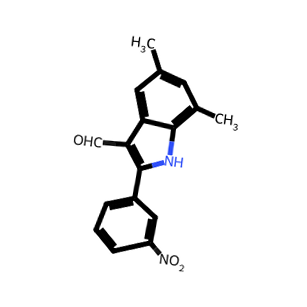 Cc1cc(C)c2[nH]c(-c3cccc([N+](=O)[O-])c3)c(C=O)c2c1